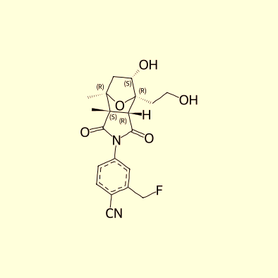 C[C@]12C[C@H](O)[C@](CCO)(O1)[C@@H]1C(=O)N(c3ccc(C#N)c(CF)c3)C(=O)[C@@]12C